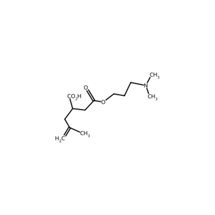 C=C(C)CC(CC(=O)OCCCN(C)C)C(=O)O